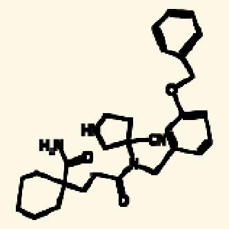 N#CC1(N(Cc2cccc(OCc3ccccc3)c2)C(=O)[CH]CC2(C(N)=O)CCCCC2)CCNC1